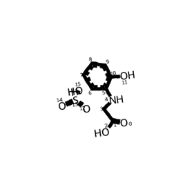 O=C(O)CNc1ccccc1O.O=[SH](=O)O